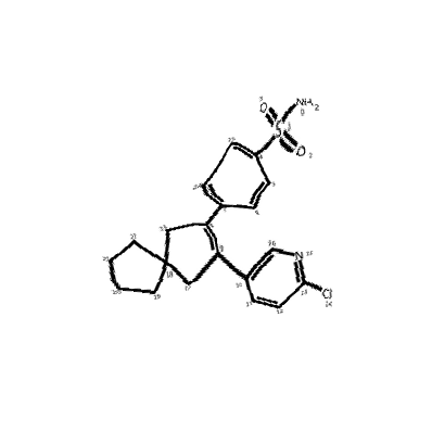 NS(=O)(=O)c1ccc(C2=C(c3ccc(Cl)nc3)CC3(CCCC3)C2)cc1